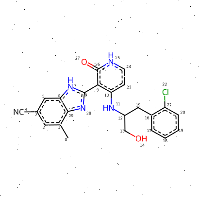 Cc1cc(C#N)cc2[nH]c(-c3c(NC(CO)Cc4ccccc4Cl)cc[nH]c3=O)nc12